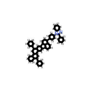 c1ccc(-c2cc3c4cc5c(cc4c(-c4ccccc4)cc3c3ccccc23)-c2ccc(-c3ccc(-n4c(-c6ccccc6)nc6ccccc64)cc3)c3cccc-5c23)cc1